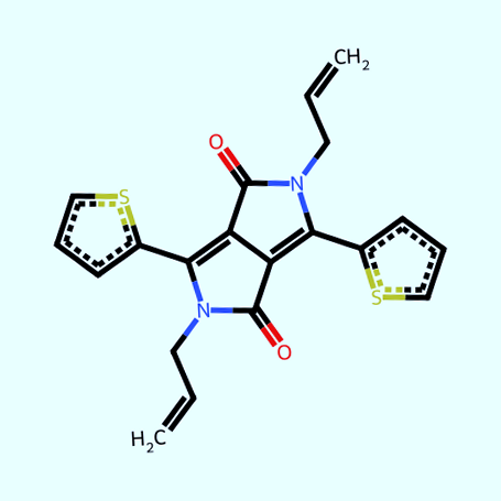 C=CCN1C(=O)C2=C(c3cccs3)N(CC=C)C(=O)C2=C1c1cccs1